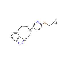 N[C@@H]1CC[C@H](c2ccc(SCC3CC3)nc2)CCCc2ccccc21